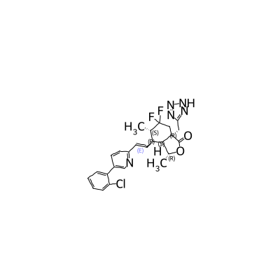 C[C@H]1OC(=O)[C@]2(Cc3nn[nH]n3)CC(F)(F)[C@@H](C)[C@H](/C=C/c3ccc(-c4ccccc4Cl)cn3)[C@H]12